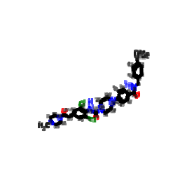 COc1ccc(CNC(=O)c2ccc(N3CCN(C(=O)Nc4c(Cl)cc(CC(=O)N5CCN(C)CC5)cc4Cl)CC3)cc2)cc1